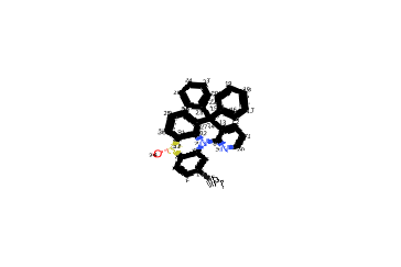 CC(C)c1ccc2c(c1)N1c3ncccc3C(c3ccccc3)(c3ccccc3)c3cccc(c31)[S+]2[O-]